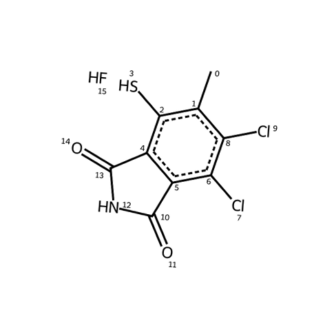 Cc1c(S)c2c(c(Cl)c1Cl)C(=O)NC2=O.F